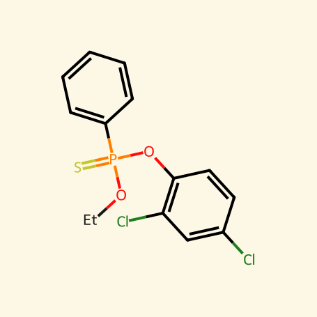 CCOP(=S)(Oc1ccc(Cl)cc1Cl)c1ccccc1